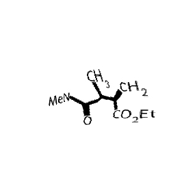 C=C(C(=O)OCC)C(C)C(=O)NC